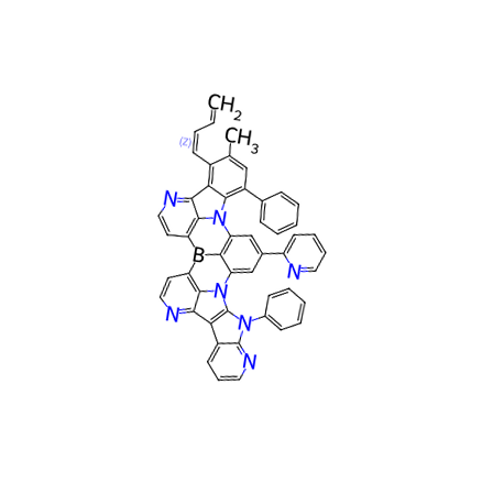 C=C/C=C\c1c(C)cc(-c2ccccc2)c2c1c1nccc3c1n2-c1cc(-c2ccccn2)cc2c1B3c1ccnc3c4c5cccnc5n(-c5ccccc5)c4n-2c13